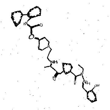 CCN(NCc1ccccc1O)C(=O)c1cccc(C(=O)C(C)NCCN2CCC(OC(=O)Nc3ccccc3-c3ccccc3)CC2)c1